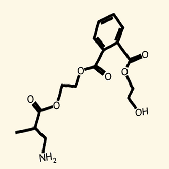 CC(CN)C(=O)OCCOC(=O)c1ccccc1C(=O)OCCO